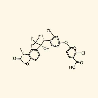 C[C@H](c1ccc(Oc2ccc(C(=O)O)c(Cl)n2)cc1Cl)[C@@](O)(c1ccc2c(c1)N(C)C(=O)CO2)C(F)(F)F